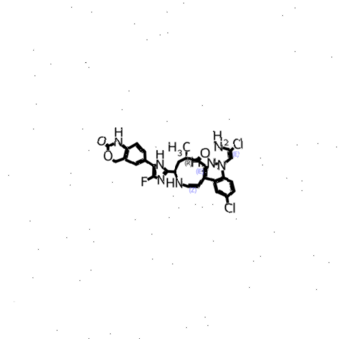 C[C@@H]1CC(c2nc(F)c(-c3ccc4c(c3)COC(=O)N4)[nH]2)N/C=C\C(c2cc(Cl)ccc2N(N)/C=C(\N)Cl)=C/C1=O